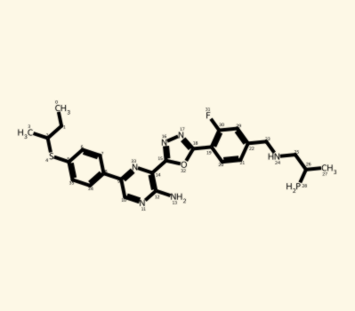 CCC(C)Sc1ccc(-c2cnc(N)c(-c3nnc(-c4ccc(CNCC(C)P)cc4F)o3)n2)cc1